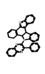 C1=CC2=C(CC1)C1C(c3ccccc3N1c1nc3ccccc3nc1-c1ccccc1)c1c2oc2ccccc12